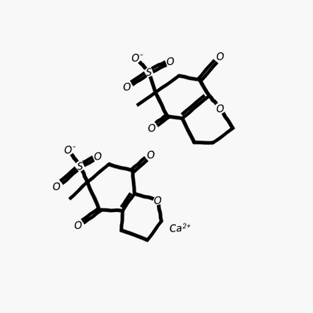 CC1(S(=O)(=O)[O-])CC(=O)C2=C(CCCO2)C1=O.CC1(S(=O)(=O)[O-])CC(=O)C2=C(CCCO2)C1=O.[Ca+2]